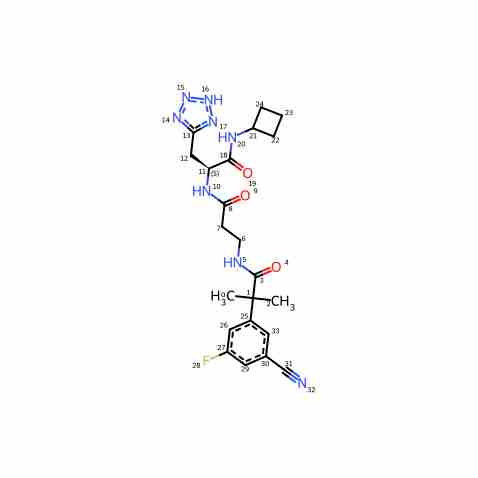 CC(C)(C(=O)NCCC(=O)N[C@@H](Cc1nn[nH]n1)C(=O)NC1CCC1)c1cc(F)cc(C#N)c1